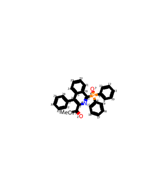 COC(=O)c1nc(P(=O)(c2ccccc2)c2ccccc2)c2ccccc2c1-c1ccccc1